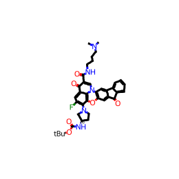 CN(C)CCCCNC(=O)c1cn2c3cc4c(cc3oc3c(N5CC[C@H](NC(=O)OC(C)(C)C)C5)c(F)cc(c1=O)c32)c(=O)c1ccccc14